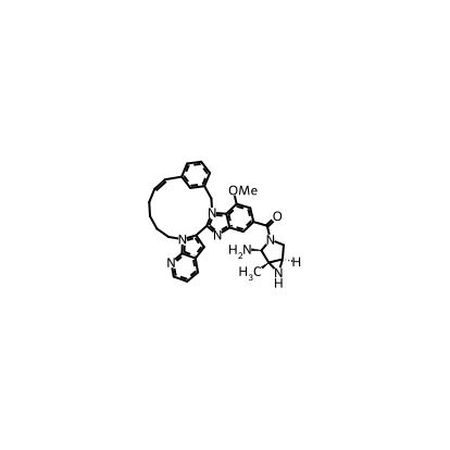 COc1cc(C(=O)N2C[C@H]3N[C@]3(C)[C@H]2N)cc2nc3n(c12)Cc1cccc(c1)/C=C\CCCCn1c-3cc2cccnc21